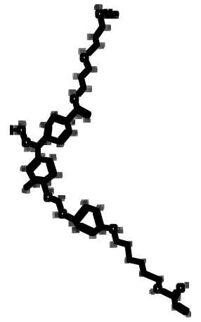 C=CC(=O)OCCCCCCOc1ccc(OCOc2ccc(C(OO)c3ccc(C(=C)OCCCOCCCOC)cc3)cc2C)cc1